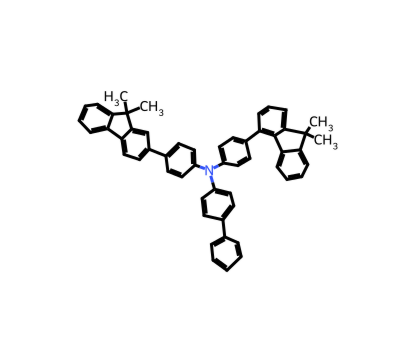 CC1(C)c2ccccc2-c2ccc(-c3ccc(N(c4ccc(-c5ccccc5)cc4)c4ccc(-c5cccc6c5-c5ccccc5C6(C)C)cc4)cc3)cc21